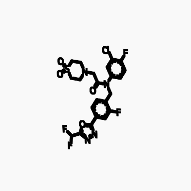 O=C(CN1CCS(=O)(=O)CC1)N(Cc1ccc(-c2nnc(C(F)F)o2)cc1F)c1ccc(F)c(Cl)c1